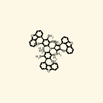 BC1=C(B)C(N(c2c(B)c(B)c(-c3cccc4oc5ccccc5c34)c(B)c2B)c2c(B)c(B)c(-c3cccc4oc5ccccc5c34)c(B)c2B)C(B)=C1c1cccc2oc3ccccc3c12